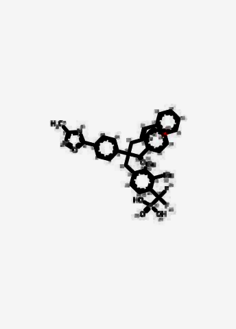 Cc1noc(-c2ccc(C(CC=Cc3ccccc3)(Cc3ccc(C(F)(F)P(=O)(O)O)c(C(C)(C)C)c3C(C)(C)C)C(=O)c3ccccc3)cc2)n1